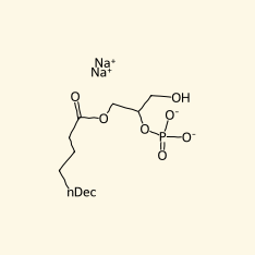 CCCCCCCCCCCCCC(=O)OCC(CO)OP(=O)([O-])[O-].[Na+].[Na+]